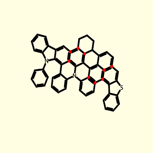 c1ccc(-n2c3ccccc3c3cccc(-c4ccccc4N(c4cccc(-c5cccc6sc7ccccc7c56)c4)c4ccccc4-c4cccc5cccc(C6CCCCC6)c45)c32)cc1